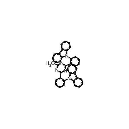 Cc1nc(-c2ccccc2-n2c3ccccc3c3ccccc32)nc(-c2ccccc2-n2c3ccccc3c3ccccc32)n1